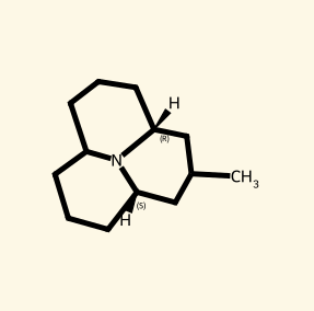 CC1C[C@H]2CCCC3CCC[C@@H](C1)N32